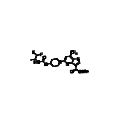 COC(=O)c1csc2c(C(F)(F)F)cc(N3CCC(OC(=O)NC(C)C(F)F)CC3)nc12